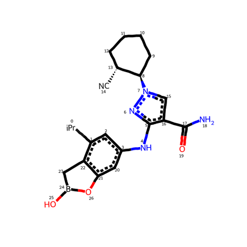 CC(C)c1cc(Nc2nn([C@@H]3CCCC[C@H]3C#N)cc2C(N)=O)cc2c1CB(O)O2